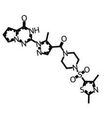 Cc1nc(C)c(S(=O)(=O)N2CCN(C(=O)c3cnn(-c4nn5cccc5c(=O)[nH]4)c3C)CC2)s1